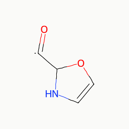 O=[C]C1NC=CO1